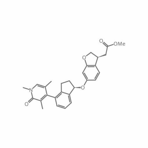 COC(=O)C[C@@H]1COc2cc(O[C@@H]3CCc4c(-c5c(C)cn(C)c(=O)c5C)cccc43)ccc21